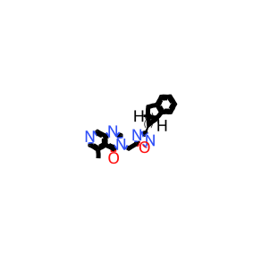 Cc1cncc2ncn(Cc3nc([C@H]4[C@@H]5Cc6ccccc6[C@@H]54)no3)c(=O)c12